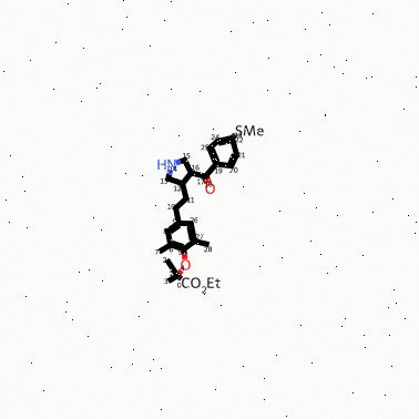 CCOC(=O)C(C)(C)Oc1c(C)cc(CCC2CNCC2C(=O)c2ccc(SC)cc2)cc1C